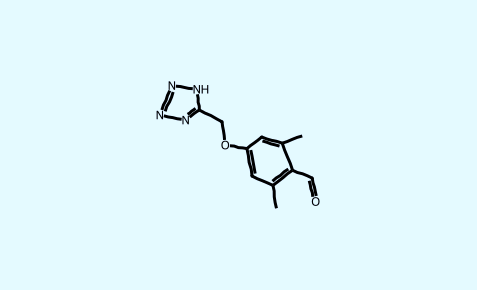 Cc1cc(OCc2nnn[nH]2)cc(C)c1C=O